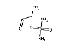 CCC=O.NS(N)(=O)=O